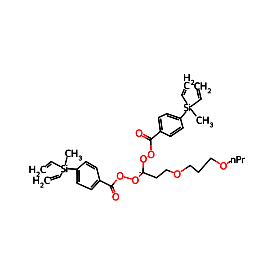 [CH2]CCOCCCOCC[C](OOC(=O)c1ccc([Si](C)(C=C)C=C)cc1)OOC(=O)c1ccc([Si](C)(C=C)C=C)cc1